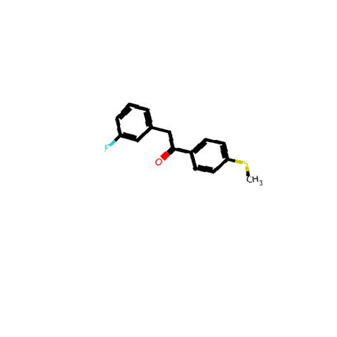 CSc1ccc(C(=O)Cc2cccc(F)c2)cc1